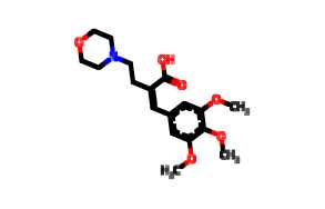 COc1cc(C=C(CCN2CCOCC2)C(=O)O)cc(OC)c1OC